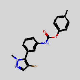 Cc1ccc(OC(=O)Nc2cccc(-c3c(Br)cnn3C)c2)cc1